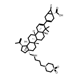 C=C(C)[C@@H]1CC[C@]2(CNCCCN3CCS(=O)(=O)CC3)CC[C@]3(C)[C@H](CC[C@@H]4[C@@]5(C)CC=C(C6=CC[C@]7(C(=O)O)C(F)C7C6)C(C)(C)[C@@H]5CC[C@]43C)[C@@H]12